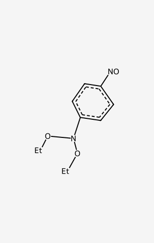 CCON(OCC)c1ccc(N=O)cc1